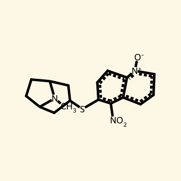 CN1C2CCC1CC(Sc1ccc3c(ccc[n+]3[O-])c1[N+](=O)[O-])C2